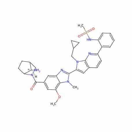 COc1cc(C(=O)N2CC3CCC2[C@@H]3N)cc2nc(-c3cc4ccc(-c5ccccc5NS(C)(=O)=O)nc4n3CC3CC3)n(C)c12